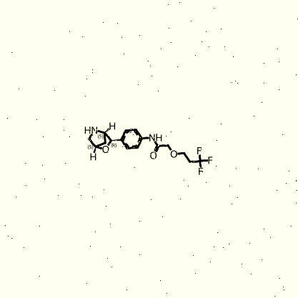 O=C(COCCC(F)(F)F)Nc1ccc([C@H]2O[C@@H]3CN[C@H]2C3)cc1